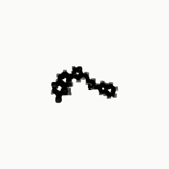 O=C1COc2ccc(N3COC(CCCNC4Cc5ccccc5C4)C3)nc2N1